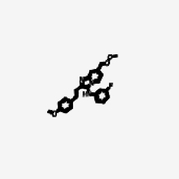 COOCc1ccn2c(Nc3cccc(F)c3)c(/C=C/c3ccc(OC)cc3)nc2c1